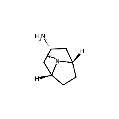 CC(=O)N1[C@@H]2CC[C@H]1C[C@@H](N)C2